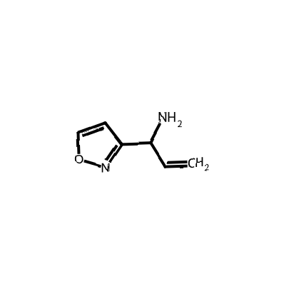 C=CC(N)c1ccon1